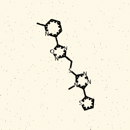 Cc1cccc(-c2nc(CSc3nnc(-c4cccs4)n3C)no2)n1